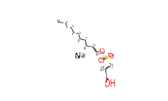 CCCCCCCCCC=COS(=O)(=O)CCO.[Na]